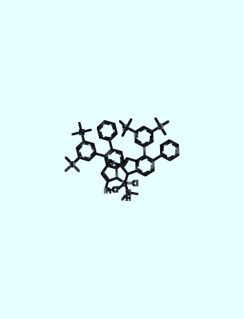 CC(C)C1=Cc2c(ccc(-c3ccccc3)c2-c2cc([Si](C)(C)C)cc([Si](C)(C)C)c2)[CH]1[Zr]([Cl])([Cl])([CH]1C(C(C)C)=Cc2c1ccc(-c1ccccc1)c2-c1cc([Si](C)(C)C)cc([Si](C)(C)C)c1)[SiH](C)C